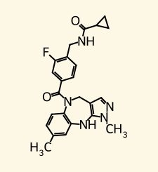 Cc1ccc2c(c1)Nc1c(cnn1C)CN2C(=O)c1ccc(CNC(=O)C2CC2)c(F)c1